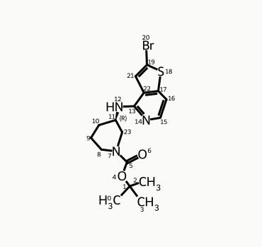 CC(C)(C)OC(=O)N1CCC[C@@H](Nc2nccc3sc(Br)cc23)C1